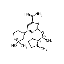 C[C@H](Oc1nc(C(=N)N)cc(N2CCC[C@@](C)(O)C2)n1)[C@@H]1CCCN1C